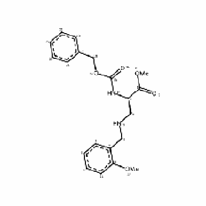 COC(=O)[C@@H](CNCc1ccccc1OC)NC(=O)OCc1ccccc1